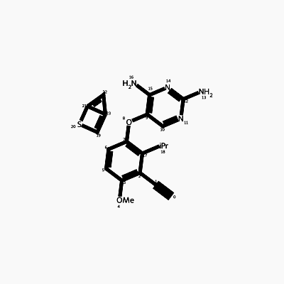 C#Cc1c(OC)ccc(Oc2cnc(N)nc2N)c1C(C)C.c1sc2cc1-2